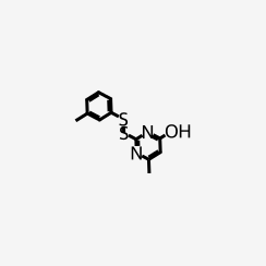 Cc1cccc(SSc2nc(C)cc(O)n2)c1